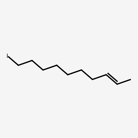 C/C=C/CCCCCCCI